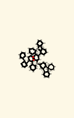 c1ccc(-c2ccccc2-c2ccccc2-c2ccccc2N(c2cccc(-c3cccc4c5ccccc5n(-c5ccccc5)c34)c2)c2ccc3c(c2)-c2ccccc2C32CCCCC2)cc1